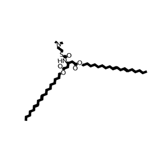 CCCCCC=CCC=CCCCCCCCCOC(=O)CC(CC(=O)OCCCCCCCCC=CCC=CCCCCC)NC(=O)SCCN(C)C